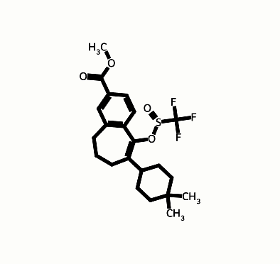 COC(=O)c1ccc2c(c1)CCCC(C1CCC(C)(C)CC1)=C2OS(=O)C(F)(F)F